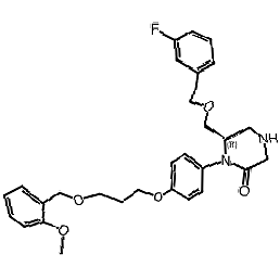 COc1ccccc1COCCCOc1ccc(N2C(=O)CNC[C@@H]2COCc2cccc(F)c2)cc1